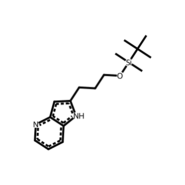 CC(C)(C)[Si](C)(C)OCCCc1cc2ncccc2[nH]1